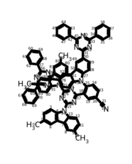 Cc1ccc2c(c1)c1cc(C)ccc1n2-c1nc(-c2cc(C#N)ccc2-n2c3ccc(-c4nc(-c5ccccc5)nc(-c5ccccc5)n4)cc3c3cc(-c4nc(-c5ccccc5)nc(-c5ccccc5)n4)ccc32)nc(-n2c3ccc(C)cc3c3cc(C)ccc32)n1